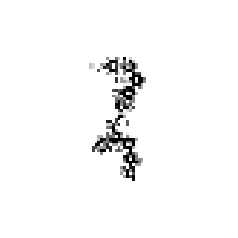 CC(=O)Nc1ccc(-c2cccc(-c3cc(C(=O)NCCN4CCN(c5ccc(-c6cc(F)cc(-c7ccnc(N8CCC(N)CC8)c7)c6O)cc5Cl)C4=O)nc(N4CCNCC4)c3)c2O)cc1F